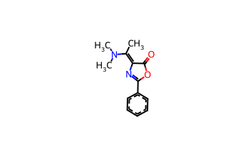 CC(=C1N=C(c2ccccc2)OC1=O)N(C)C